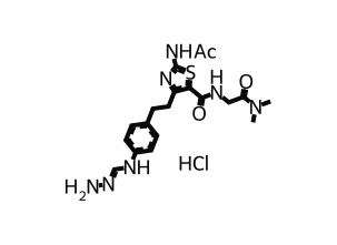 CC(=O)Nc1nc(CCc2ccc(NC=NN)cc2)c(C(=O)NCC(=O)N(C)C)s1.Cl